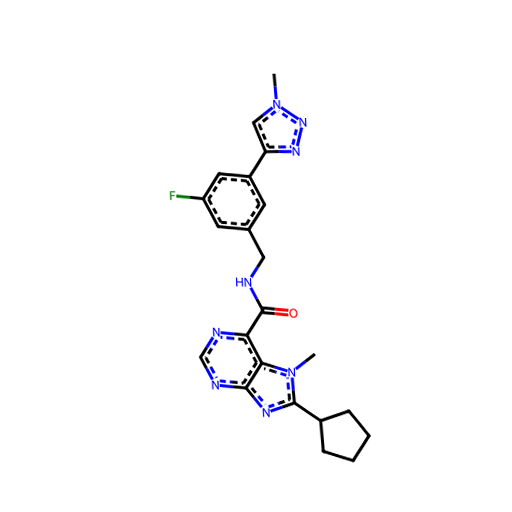 Cn1cc(-c2cc(F)cc(CNC(=O)c3ncnc4nc(C5CCCC5)n(C)c34)c2)nn1